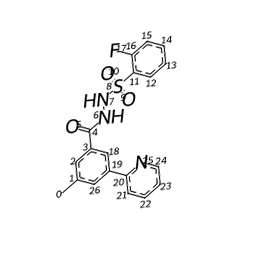 Cc1cc(C(=O)NNS(=O)(=O)c2ccccc2F)cc(-c2ccccn2)c1